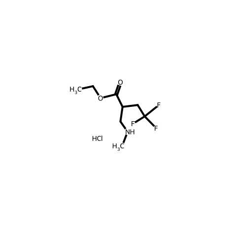 CCOC(=O)C(CNC)CC(F)(F)F.Cl